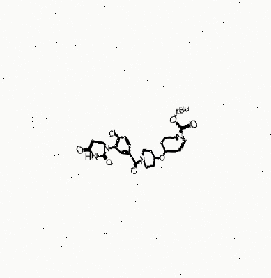 CC(C)(C)OC(=O)N1CCC(OC2CCN(C(=O)c3ccc(Cl)c(N4CCC(=O)NC4=O)c3)CC2)CC1